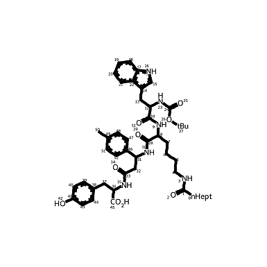 CCCCCCCC(=O)NCCCCC(NC(=O)C(Cc1c[nH]c2ccccc12)NC(=O)OC(C)(C)C)C(=O)NC(CC(=O)NC(Cc1ccc(O)cc1)C(=O)O)c1ccc(C)cc1